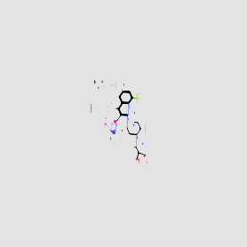 COc1cc(F)c2nc(N3CC[C@@H](NCC4COC4)[C@H](F)C3)c(-c3nc(C)no3)c(C)c2c1